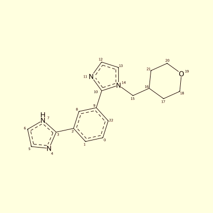 c1cc(-c2ncc[nH]2)cc(-c2nccn2CC2CCOCC2)c1